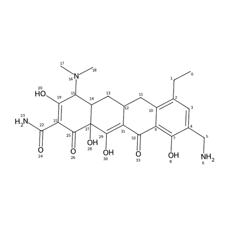 CCc1cc(CN)c(O)c2c1CC1CC3C(N(C)C)C(O)=C(C(N)=O)C(=O)C3(O)C(O)=C1C2=O